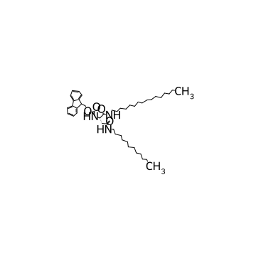 CCCCCCCCCCCCCCCCNC(=O)[C@H](CC(=O)NCCCCCCCCCCCC)NC(=O)OCC1c2ccccc2-c2ccccc21